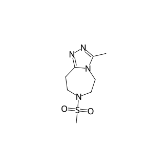 Cc1nnc2n1CCN(S(C)(=O)=O)CC2